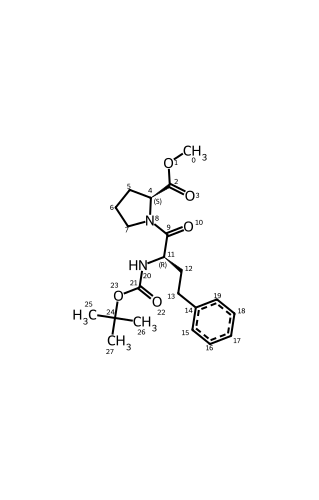 COC(=O)[C@@H]1CCCN1C(=O)[C@@H](CCc1ccccc1)NC(=O)OC(C)(C)C